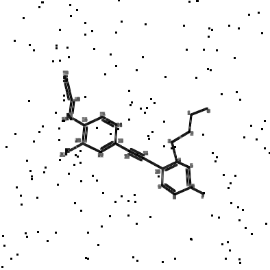 CCCCc1cc(C)ccc1C#Cc1ccc(N=C=S)c(F)c1